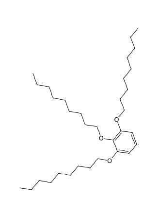 CCCCCCCCCOc1c[c]cc(OCCCCCCCCC)c1OCCCCCCCCC